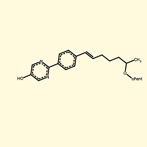 CCCCCOC(C)CCCC=Cc1ccc(-c2ncc(O)cn2)cc1